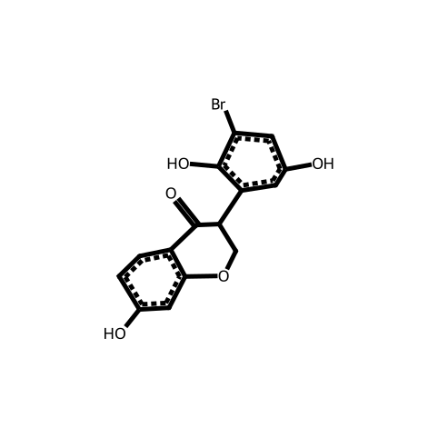 O=C1c2ccc(O)cc2OCC1c1cc(O)cc(Br)c1O